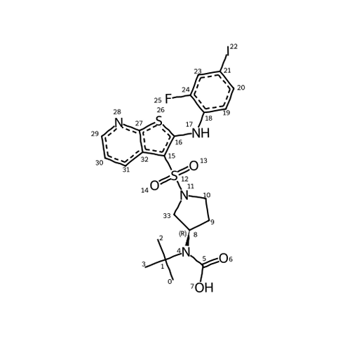 CC(C)(C)N(C(=O)O)[C@@H]1CCN(S(=O)(=O)c2c(Nc3ccc(I)cc3F)sc3ncccc23)C1